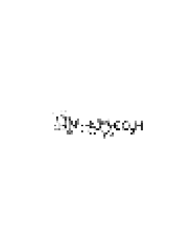 O=C(O)c1ccc(OCCCN2CC3CCCC32)cc1